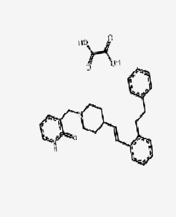 O=C(O)C(=O)O.O=c1[nH]cccc1CN1CCC(C=Cc2ccccc2CCc2ccccc2)CC1